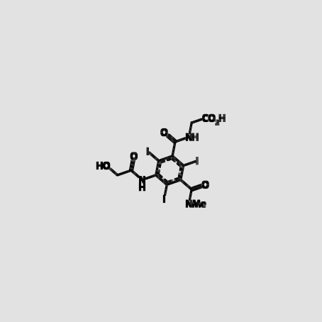 CNC(=O)c1c(I)c(NC(=O)CO)c(I)c(C(=O)NCC(=O)O)c1I